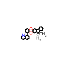 CC1(C)c2ccccc2-c2cc3c(cc21)Oc1c(cccc1-c1cccc2cccnc12)O3